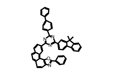 CC1(C)c2ccccc2-c2ccc(-c3nc(-c4ccc(-c5ccccc5)cc4)nc(-c4ccc5ccc6ccc7nc(-c8ccccc8)oc7c6c5c4)n3)cc21